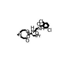 CC(C)C[C@H](NC(=O)CNC(=O)c1cc(Cl)ccc1Cl)B1OCCCN(C)CCC(=O)O1